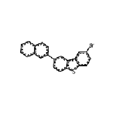 Brc1ccc2sc3ccc(-c4ccc5ccccc5c4)cc3c2c1